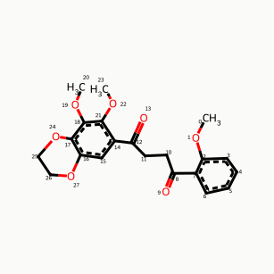 COc1ccccc1C(=O)CCC(=O)c1cc2c(c(OC)c1OC)OCCO2